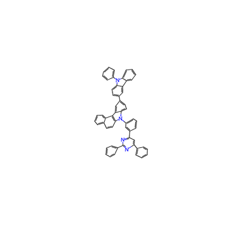 c1ccc(-c2cc(-c3cccc(-n4c5ccc(-c6ccc7c(c6)c6ccccc6n7-c6ccccc6)cc5c5c6ccccc6ccc54)c3)nc(-c3ccccc3)n2)cc1